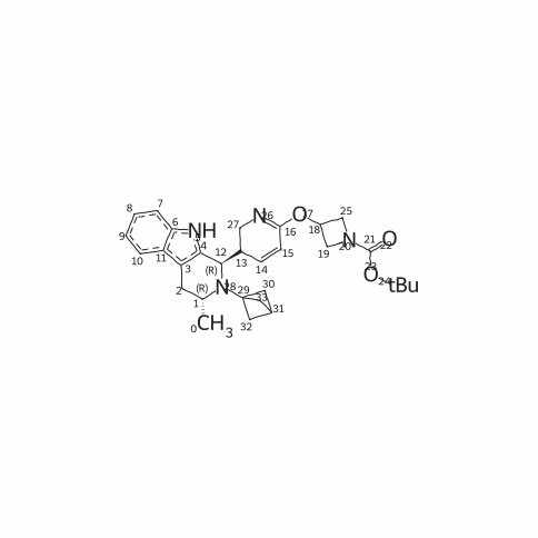 C[C@@H]1Cc2c([nH]c3ccccc23)[C@@H](C2C=CC(OC3CN(C(=O)OC(C)(C)C)C3)=NC2)N1C12CC(C1)C2